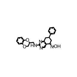 O/N=C1\CC(c2ccccc2)Cc2nc(NCC3COc4ccccc4O3)ncc21